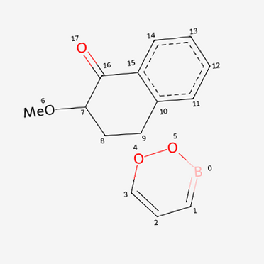 B1=CC=COO1.COC1CCc2ccccc2C1=O